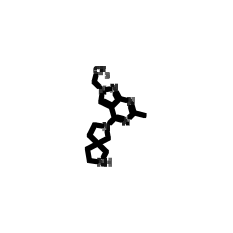 Cc1nc(N2CCC3(CCNC3)C2)c2cn(CC(F)(F)F)nc2n1